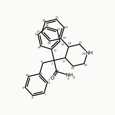 NC(=O)C(Cc1ccccc1)(c1ccccc1)C1CCNCC1c1ccccc1